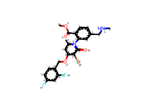 CNCc1ccc(C(=O)OC)c(-n2c(C)cc(OCc3ccc(F)cc3F)c(Br)c2=O)c1